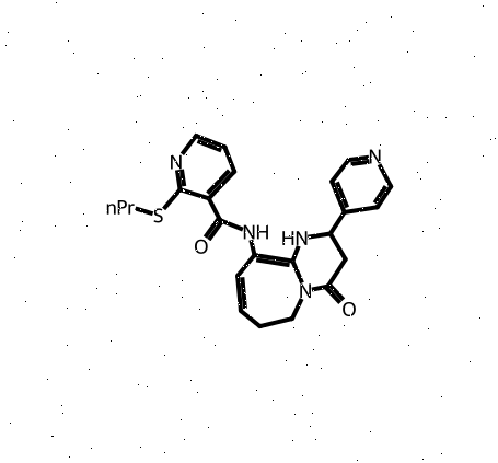 CCCSc1ncccc1C(=O)NC1=C2NC(c3ccncc3)CC(=O)N2CCC=C1